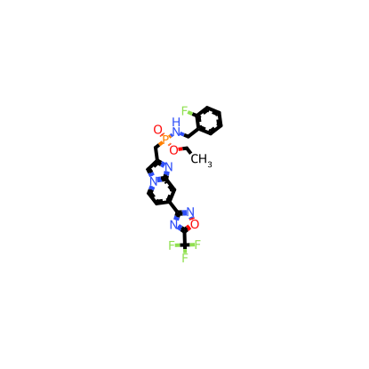 CCOP(=O)(Cc1cn2ccc(-c3noc(C(F)(F)F)n3)cc2n1)NCc1ccccc1F